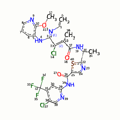 C=C/N=C(Nc1cccnc1OC)\C(Cl)=C(/C)C(=O)NC(C)c1ncc(C(=O)Nc2cc(C(F)(F)F)c(Cl)cn2)s1